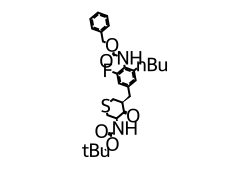 CCCCc1cc(C[C@@H]2CSC[C@H](NC(=O)OC(C)(C)C)C2=O)cc(F)c1NC(=O)OCc1ccccc1